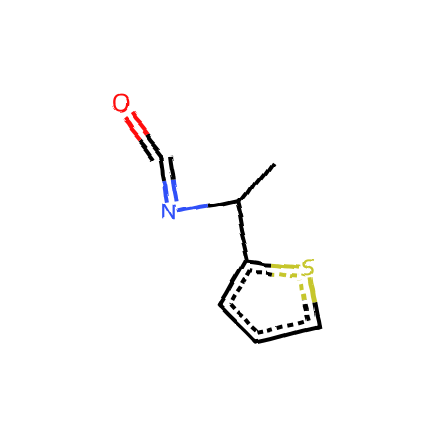 CC(N=C=O)c1cccs1